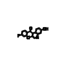 O=C(c1ccc(F)cc1)c1c(Cl)cnc2cc(O)ccc12